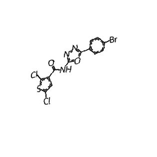 O=C(Nc1nnc(-c2ccc(Br)cc2)o1)c1cc(Cl)sc1Cl